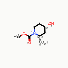 CC(C)(C)OC(=O)N1CC[C@H](O)C[C@H]1C(=O)O